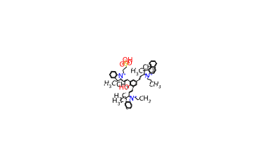 CCC[N+]1=C(/C=C/c2cc(/C=C/C3=[N+](CCC)c4ccc5ccccc5c4C3(C)C)cc(/C=C/C3=[N+](CCCS(=O)(=O)O)c4ccccc4C3(C)C)c2O)C(C)(C)c2ccccc21